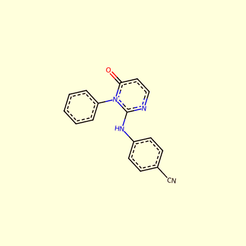 N#Cc1ccc(Nc2nccc(=O)n2-c2ccccc2)cc1